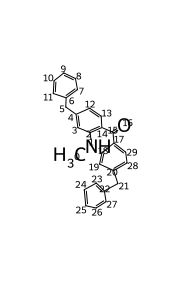 CNc1cc(Cc2ccccc2)ccc1C(=O)c1ccc(Cc2ccccc2)cc1